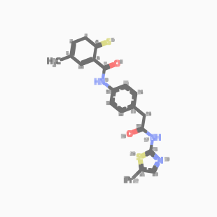 CC1=CCC(=S)C(C(=O)Nc2ccc(CC(=O)Nc3ncc(C(C)C)s3)cc2)=C1